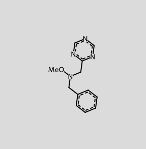 CON(Cc1ccccc1)Cc1ncncn1